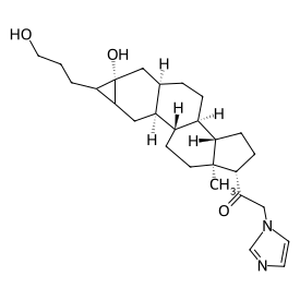 C[C@]12CC[C@H]3[C@@H](CC[C@@H]4C[C@]5(O)C(CCCO)C5C[C@@H]43)[C@@H]1CC[C@@H]2C(=O)Cn1ccnc1